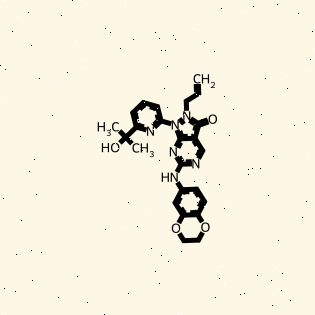 C=CCn1c(=O)c2cnc(Nc3ccc4c(c3)OCCO4)nc2n1-c1cccc(C(C)(C)O)n1